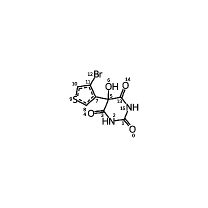 O=C1NC(=O)C(O)(c2cscc2Br)C(=O)N1